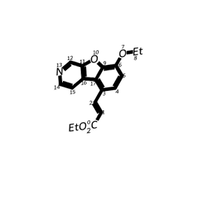 CCOC(=O)/C=C/c1ccc(OCC)c2oc3cnccc3c12